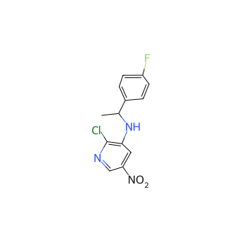 CC(Nc1cc([N+](=O)[O-])cnc1Cl)c1ccc(F)cc1